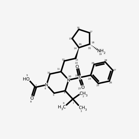 CC(C)(C)C1CN(C(=O)O)CC(CC[C@H]2CCC[C@@H]2N)N1S(=O)(=O)c1ccccc1